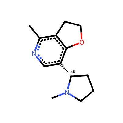 Cc1ncc([C@@H]2CCCN2C)c2c1CCO2